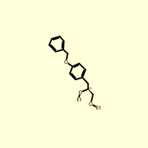 CCOC[C@H](Cc1ccc(OCc2ccccc2)cc1)OCC